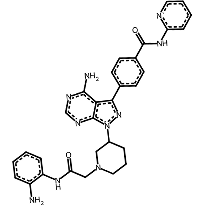 Nc1ccccc1NC(=O)CN1CCCC(n2nc(-c3ccc(C(=O)Nc4ccccn4)cc3)c3c(N)ncnc32)C1